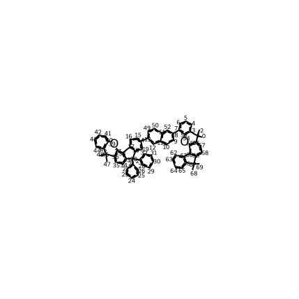 CC1(C)c2cccc(-c3ccc4cc(-c5ccc6c(c5)C(c5ccccc5)(c5ccccc5)c5ccc7c(c5-6)Oc5ccccc5C7(C)C)ccc4c3)c2Oc2c1ccc1c2-c2ccccc2C1(C)C